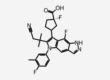 Cc1cc(-n2c(C(C)(C)CC#N)c(C3CC[C@@](F)(C(=O)O)C3)c3c(F)c4[nH]ncc4cc32)ccc1F